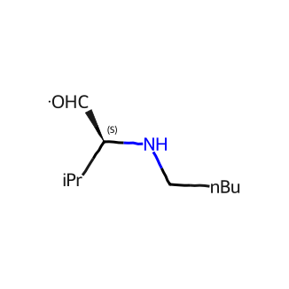 CCCCCN[C@H]([C]=O)C(C)C